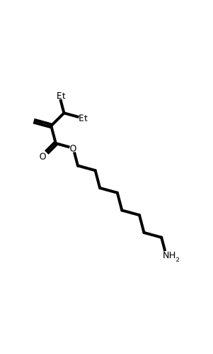 C=C(C(=O)OCCCCCCCCN)C(CC)CC